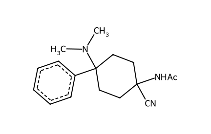 CC(=O)NC1(C#N)CCC(c2ccccc2)(N(C)C)CC1